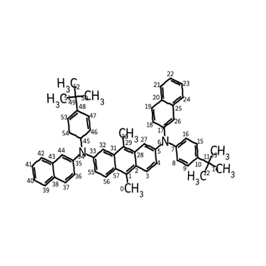 Cc1c2ccc(N(c3ccc(C(C)(C)C)cc3)c3ccc4ccccc4c3)cc2c(C)c2cc(N(c3ccc4ccccc4c3)C3C=CC(C(C)(C)C)=CC3)ccc12